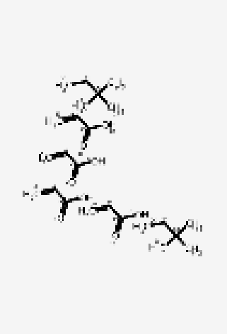 C=CC(=O)O.C=CC(=O)O.C=CC(=O)O.C=CC(=O)O.CCC(C)(C)C.CCC(C)(C)C